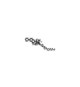 COCCOCCOCCNC(=O)/C(C#N)=C(\C)c1ccc2cc(C3CCCCC3)ccc2c1